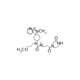 COCCCN1C(=O)N(CCC(=O)N2CCNC(=O)C2)C[C@]12CC[C@](c1ccccc1)(N(C)C)CC2